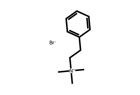 C[N+](C)(C)CCc1ccccc1.[Br-]